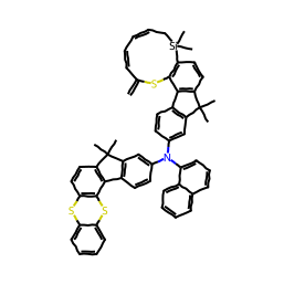 C=C1/C=C\C=C/C[Si](C)(C)c2ccc3c(c2S1)-c1ccc(N(c2ccc4c(c2)C(C)(C)c2ccc5c(c2-4)Sc2ccccc2S5)c2cccc4ccccc24)cc1C3(C)C